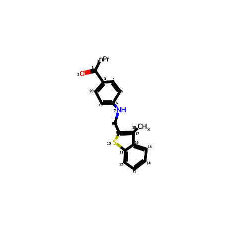 CCCC(=O)c1ccc(NCc2sc3ccccc3c2C)cc1